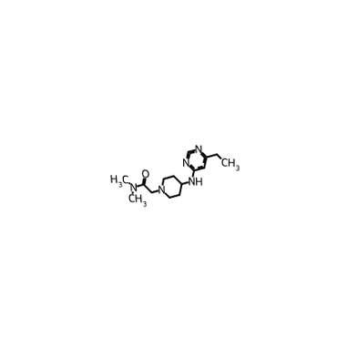 CCc1cc(NC2CCN(CC(=O)N(C)C)CC2)ncn1